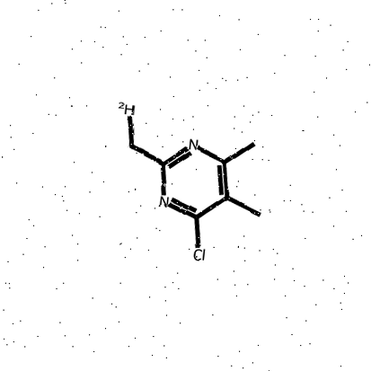 [2H]Cc1nc(C)c(C)c(Cl)n1